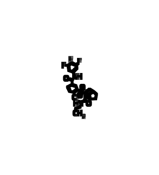 C=CCNC(=O)C[C@]1(O)C2CCC1C[C@@H](S(=O)(=O)c1cc(C(=O)Nc3cc(F)c(F)c(F)c3)ccc1Cl)C2